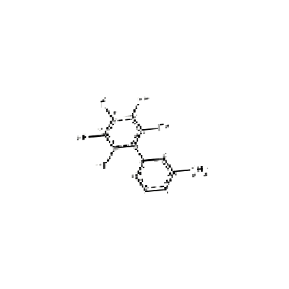 [CH2]c1cccc(-c2c(F)c(F)c(F)c(F)c2F)c1